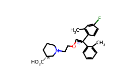 Cc1ccccc1/C(=C\OCCN1CCC[C@@H](C(=O)O)C1)c1ccc(F)cc1C